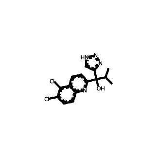 CC(C)C(O)(c1c[nH]nn1)c1ccc2c(Cl)c(Cl)ccc2n1